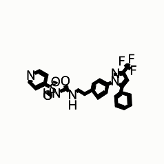 O=C(NCCc1ccc(-n2nc(C(F)(F)F)cc2-c2ccccc2)cc1)NS(=O)(=O)c1ccncc1